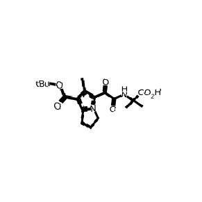 Cc1c(C(=O)OC(C)(C)C)c2n(c1C(=O)C(=O)NC(C)(C)C(=O)O)CCC2